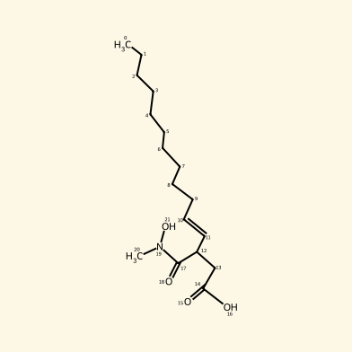 CCCCCCCCCCC=CC(CC(=O)O)C(=O)N(C)O